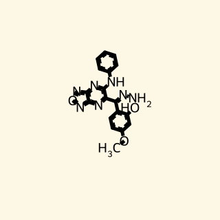 COc1ccc(/C(=N\N)c2nc3nonc3nc2Nc2ccccc2)c(O)c1